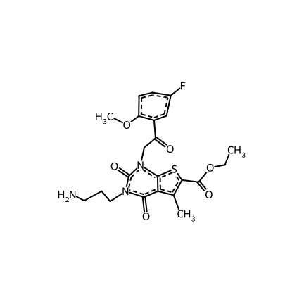 CCOC(=O)c1sc2c(c1C)c(=O)n(CCCN)c(=O)n2CC(=O)c1cc(F)ccc1OC